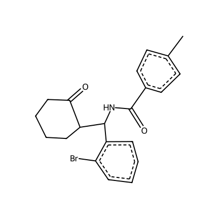 Cc1ccc(C(=O)NC(c2ccccc2Br)C2CCCCC2=O)cc1